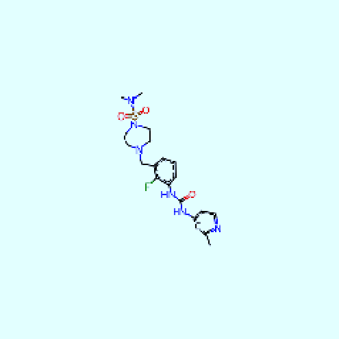 Cc1cc(NC(=O)Nc2cccc(CN3CCN(S(=O)(=O)N(C)C)CC3)c2F)ccn1